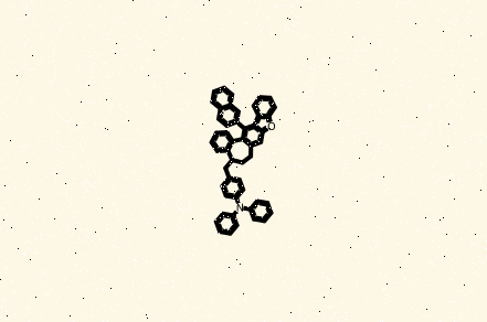 c1ccc(N(c2ccccc2)c2ccc(CC3CCc4cc5oc6ccccc6c5c(-c5ccc6ccccc6c5)c4-c4ccccc43)cc2)cc1